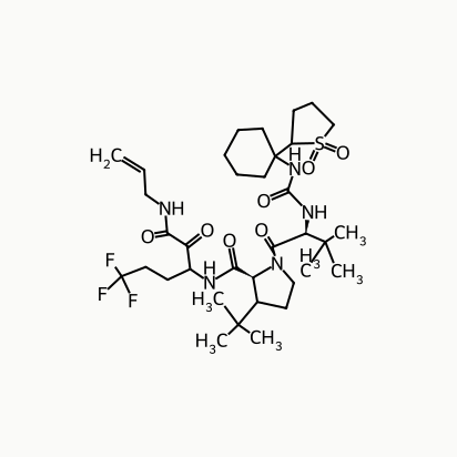 C=CCNC(=O)C(=O)C(CCC(F)(F)F)NC(=O)[C@@H]1C(C(C)(C)C)CCN1C(=O)[C@@H](NC(=O)NC1(C2CCCS2(=O)=O)CCCCC1)C(C)(C)C